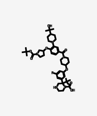 CC(C)(C)OC(=O)N1CCC(Oc2ccc(C(=O)N3CCC(Oc4cc(F)cc(C5(C(C)(C)C)CNCCN5C(=O)O)c4)CC3)cc2N2CCC(C(C)(C)O)CC2)C1